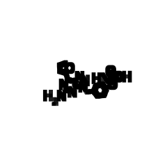 Nc1nc(-c2ccco2)c2nnn(Cc3cccc(NS(=O)(=O)O)c3)c2n1